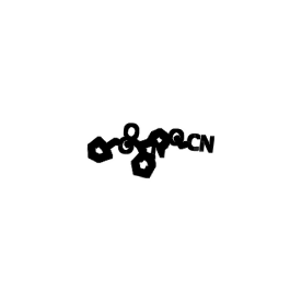 N#CCOc1ccc2c(C(=O)OCc3ccccc3)c3ccccc3n2c1